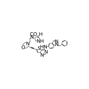 O=C(O)N(CCN1CCOC[C@@H]1C#Cc1cc2ncnc(Nc3ccc4c(cnn4Cc4ccccc4)c3)c2s1)[C@@H]1CCNC1